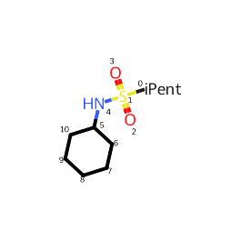 CCCC(C)S(=O)(=O)NC1CCCCC1